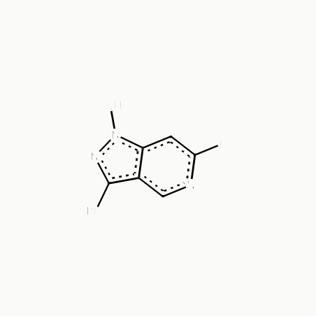 Cn1nc(Br)c2cnc(Cl)cc21